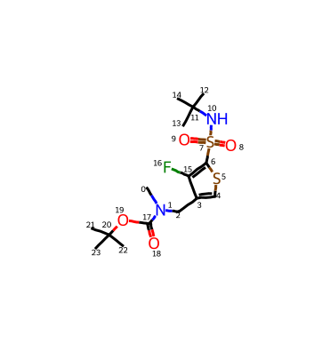 CN(Cc1csc(S(=O)(=O)NC(C)(C)C)c1F)C(=O)OC(C)(C)C